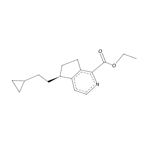 CCOC(=O)c1nccc2c1CC[C@@H]2CCC1CC1